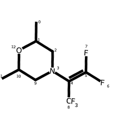 CC1CN(C(=C(F)F)C(F)(F)F)CC(C)O1